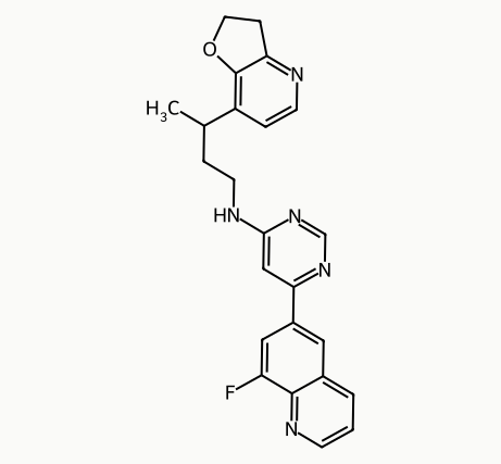 CC(CCNc1cc(-c2cc(F)c3ncccc3c2)ncn1)c1ccnc2c1OCC2